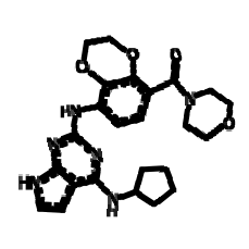 O=C(c1ccc(Nc2nc(NC3CCCC3)c3cc[nH]c3n2)c2c1OCCO2)N1CCOCC1